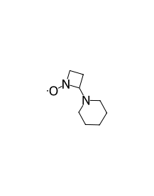 [O]N1CCC1N1CCCCC1